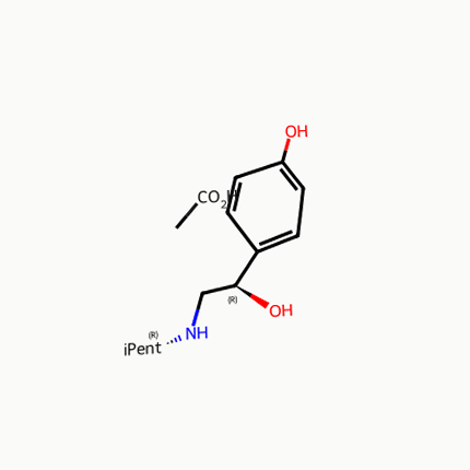 CC(=O)O.CCC[C@@H](C)NC[C@H](O)c1ccc(O)cc1